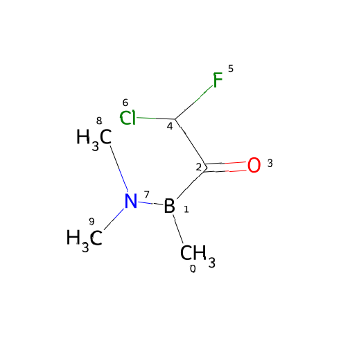 CB(C(=O)C(F)Cl)N(C)C